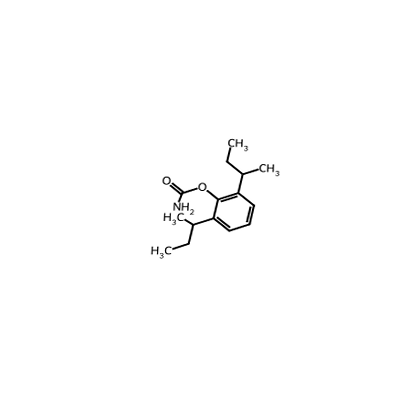 CCC(C)c1cccc(C(C)CC)c1OC(N)=O